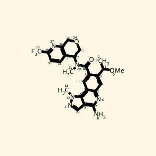 COC(C)c1cc2nc(N)c3cnn(C)c3c2cc1C(=O)N(C)C1COCc2nc(C(F)(F)F)ccc21